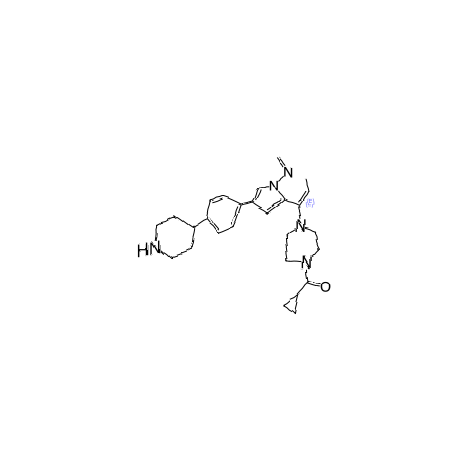 C=Nn1cc(-c2ccc(C3CCNCC3)cc2)cc1/C(=C\C)N1CCN(C(=O)C2CC2)CC1